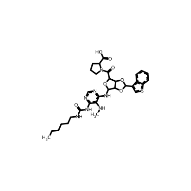 CCCCCCNC(=O)Nc1ncnc(NC2OC(C(=O)N3CCCC3C(=O)O)C3OC(c4csc5ccccc45)OC23)c1NC